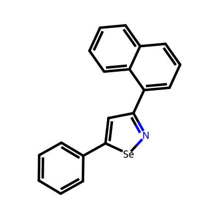 c1ccc(-c2cc(-c3cccc4ccccc34)n[se]2)cc1